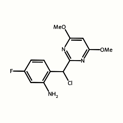 COc1cc(OC)nc(C(Cl)c2ccc(F)cc2N)n1